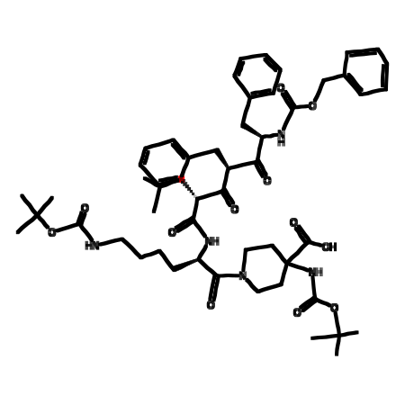 CC(C)C[C@@H](C(=O)N[C@H](CCCCNC(=O)OC(C)(C)C)C(=O)N1CCC(NC(=O)OC(C)(C)C)(C(=O)O)CC1)C(=O)[C@@H](Cc1ccccc1)C(=O)[C@@H](Cc1ccccc1)NC(=O)OCc1ccccc1